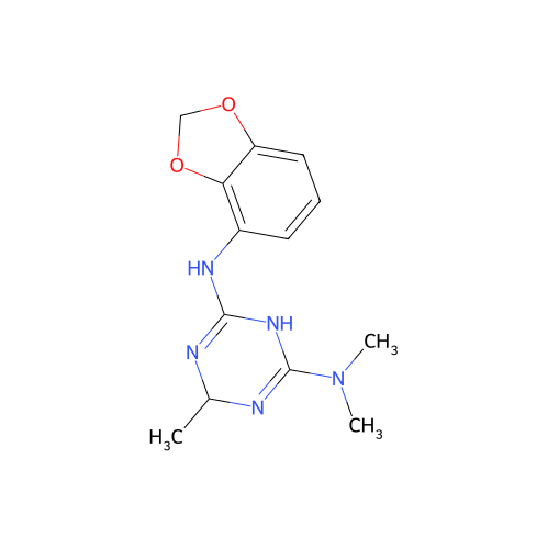 CC1N=C(Nc2cccc3c2OCO3)NC(N(C)C)=N1